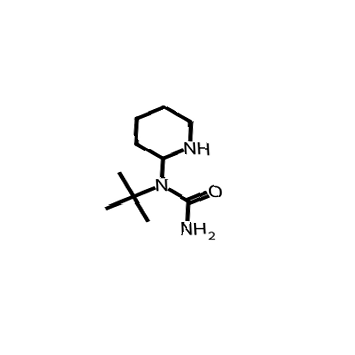 CC(C)(C)N(C(N)=O)C1CCCCN1